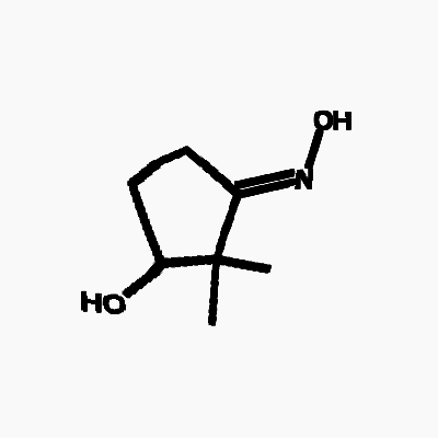 CC1(C)C(=NO)CCC1O